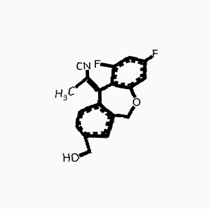 CC(C#N)=C1c2ccc(CO)cc2COc2cc(F)cc(F)c21